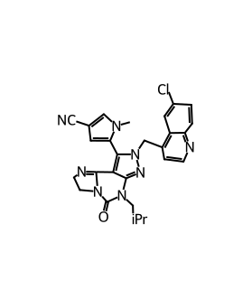 CC(C)CN1C(=O)N2CCN=C2c2c1nn(Cc1ccnc3ccc(Cl)cc13)c2-c1cc(C#N)cn1C